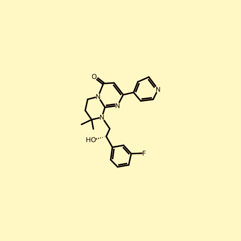 CC1(C)CCn2c(nc(-c3ccncc3)cc2=O)N1C[C@@H](O)c1cccc(F)c1